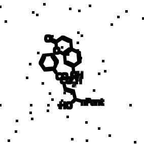 CCCCCC(O)C=CC(=O)O.O=C(O)c1ccccc1.O=c1ccc2ccc(O)cc2o1